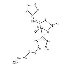 CN1CC(NC2CCCC2)[N+]([O-])(c2nnc(CCCCCl)s2)C1